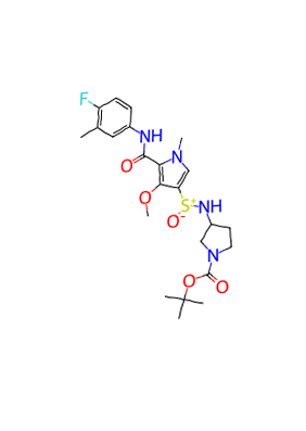 COc1c([S+]([O-])NC2CCN(C(=O)OC(C)(C)C)C2)cn(C)c1C(=O)Nc1ccc(F)c(C)c1